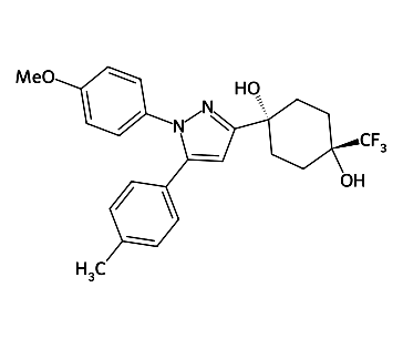 COc1ccc(-n2nc([C@]3(O)CC[C@](O)(C(F)(F)F)CC3)cc2-c2ccc(C)cc2)cc1